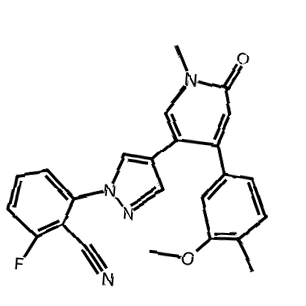 COc1cc(-c2cc(=O)n(C)cc2-c2cnn(-c3cccc(F)c3C#N)c2)ccc1C